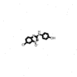 [O-][n+]1nc(Nc2ccc(O)cc2)nc2ccc(Cl)cc21